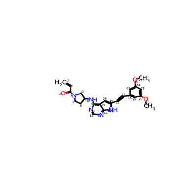 C=CC(=O)N1CCC(Nc2ncnc3[nH]c(C#Cc4cc(OC)cc(OC)c4)cc23)C1